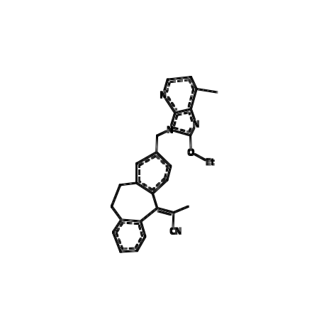 CCOc1nc2c(C)ccnc2n1Cc1ccc2c(c1)CCc1ccccc1/C2=C(/C)C#N